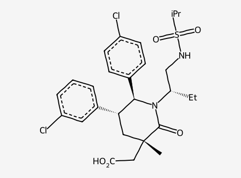 CC[C@@H](CNS(=O)(=O)C(C)C)N1C(=O)[C@](C)(CC(=O)O)C[C@H](c2cccc(Cl)c2)[C@H]1c1ccc(Cl)cc1